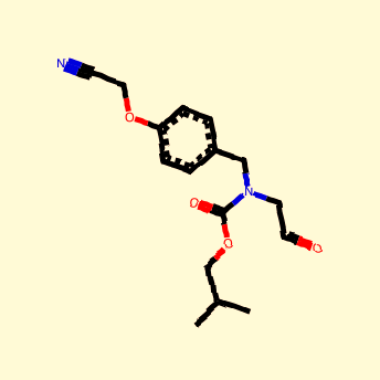 CC(C)COC(=O)N(CC=O)Cc1ccc(OCC#N)cc1